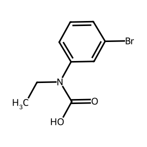 CCN(C(=O)O)c1cccc(Br)c1